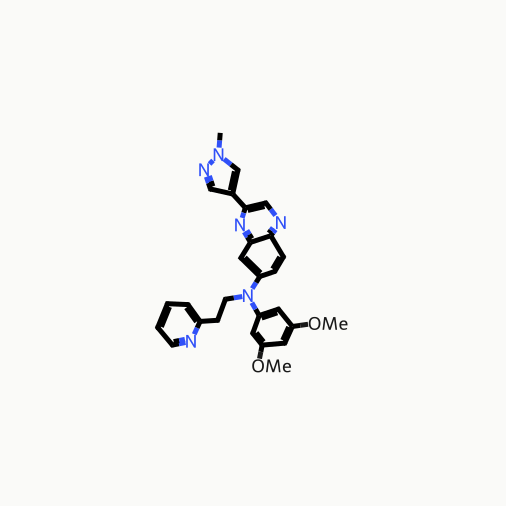 COc1cc(OC)cc(N(CCc2ccccn2)c2ccc3ncc(-c4cnn(C)c4)nc3c2)c1